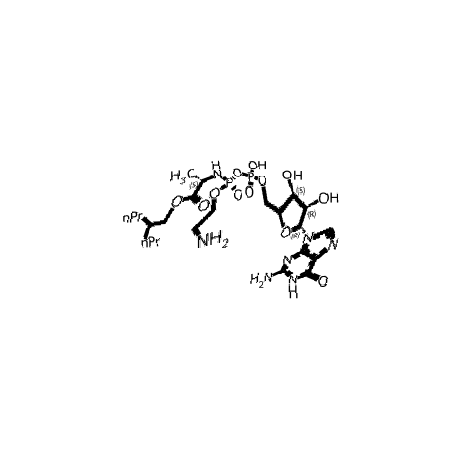 CCCC(CCC)COC(=O)[C@H](C)NP(=O)(OCCN)OP(=O)(O)OCC1O[C@@H](n2cnc3c(=O)[nH]c(N)nc32)[C@H](O)[C@@H]1O